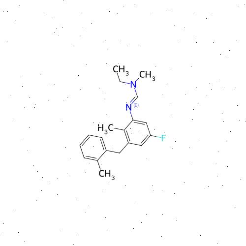 CCN(C)/C=N/c1cc(F)cc(Cc2ccccc2C)c1C